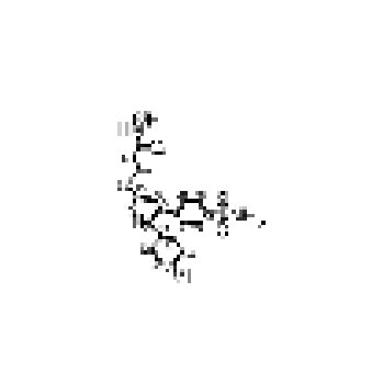 NS(=O)(=O)c1ccc(-c2cc(CCCC(=O)NO)cnc2-c2ccc(Cl)cc2)cc1